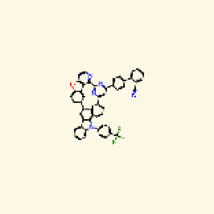 N#Cc1ccccc1-c1ccc(-c2cc(-c3ccccc3)nc(-c3nccc4oc5ccc(-c6ccc7c(c6)c6ccccc6n7-c6ccc(C(F)(F)F)cc6)cc5c34)n2)cc1